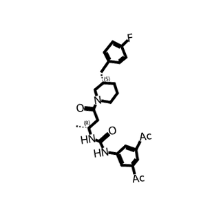 CC(=O)c1cc(NC(=O)N[C@H](C)CC(=O)N2CCC[C@@H](Cc3ccc(F)cc3)C2)cc(C(C)=O)c1